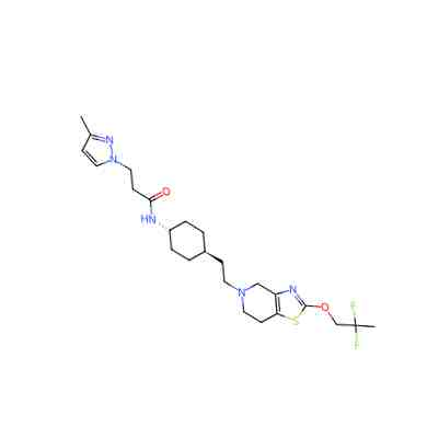 Cc1ccn(CCC(=O)N[C@H]2CC[C@H](CCN3CCc4sc(OCC(C)(F)F)nc4C3)CC2)n1